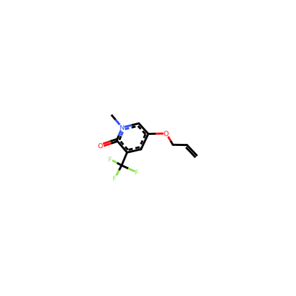 C=CCOc1cc(C(F)(F)F)c(=O)n(C)c1